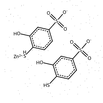 O=S(=O)([O-])c1ccc(S)c(O)c1.O=S(=O)([O-])c1ccc(S)c(O)c1.[Zn+2]